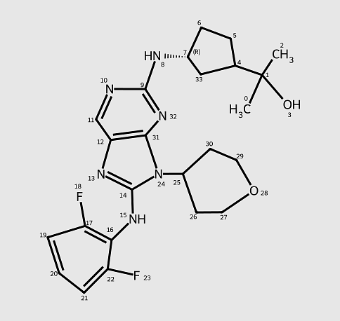 CC(C)(O)C1CC[C@@H](Nc2ncc3nc(Nc4c(F)cccc4F)n(C4CCOCC4)c3n2)C1